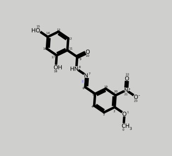 COc1ccc(/C=N/NC(=O)c2ccc(O)cc2O)cc1[N+](=O)[O-]